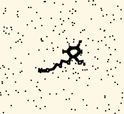 COCCOCOc1c(I)cc(F)nc1C(F)(F)F